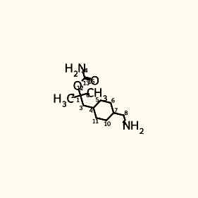 CC(C)(CC1CCC(CN)CC1)OC(N)=O